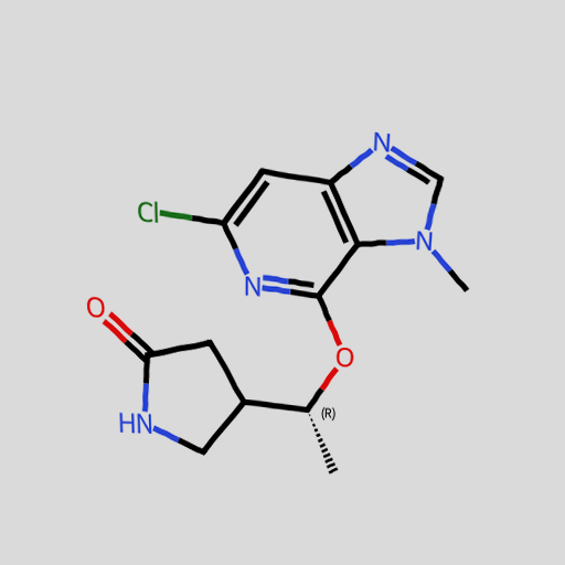 C[C@@H](Oc1nc(Cl)cc2ncn(C)c12)C1CNC(=O)C1